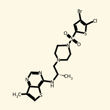 Cc1csc2c(N[C@@H](C)CN3CCN(S(=O)(=O)c4cc(Br)c(Cl)s4)CC3)ncnc12